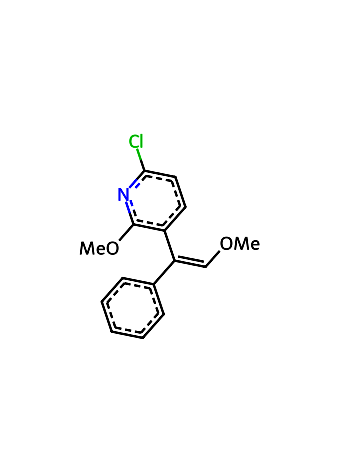 COC=C(c1ccccc1)c1ccc(Cl)nc1OC